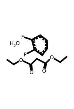 CCOC(=O)CC(=O)OCC.Fc1ccccc1F.O